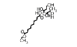 CC(O)CCO.CC(O)CO.CCOC(=O)CCCCCCCCC(=O)O